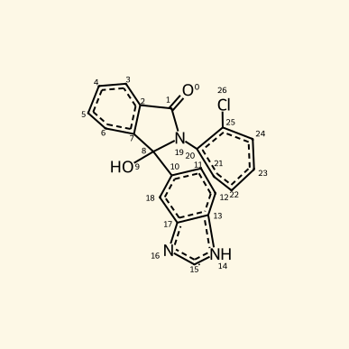 O=C1c2ccccc2C(O)(c2ccc3[nH][c]nc3c2)N1c1ccccc1Cl